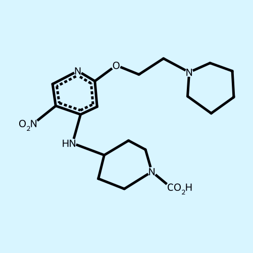 O=C(O)N1CCC(Nc2cc(OCCN3CCCCC3)ncc2[N+](=O)[O-])CC1